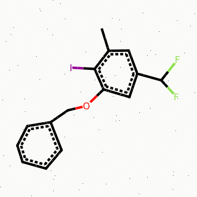 Cc1cc(C(F)F)cc(OCc2ccccc2)c1I